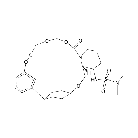 CN(C)S(=O)(=O)NC1CCCN2C(=O)OCCCCOc3cccc(c3)C3CCC(CC3)OC[C@@H]12